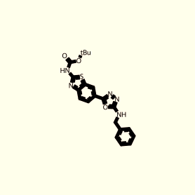 CC(C)(C)OC(=O)Nc1nc2ccc(-c3nnc(NCc4ccccc4)o3)cc2s1